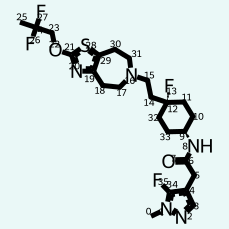 Cn1ncc(CC(=O)N[C@H]2CC[C@](F)(CCN3CCc4nc(OCC(C)(F)F)sc4CC3)CC2)c1F